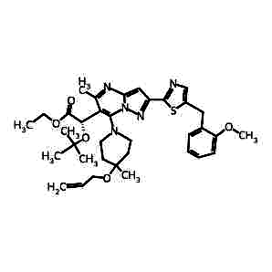 C=CCOC1(C)CCN(c2c([C@H](OC(C)(C)C)C(=O)OCC)c(C)nc3cc(-c4ncc(Cc5ccccc5OC)s4)nn23)CC1